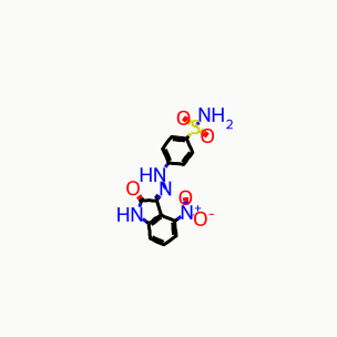 NS(=O)(=O)c1ccc(NN=C2C(=O)Nc3cccc([N+](=O)[O-])c32)cc1